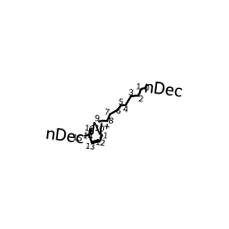 CCCCCCCCCCCCCCCCCCC[n+]1cccc(CCCCCCCCCC)c1